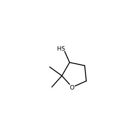 CC1(C)OCCC1S